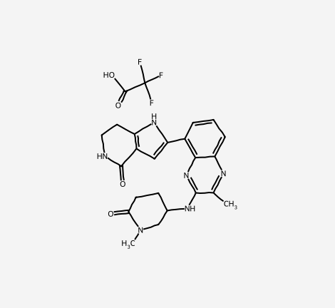 Cc1nc2cccc(-c3cc4c([nH]3)CCNC4=O)c2nc1NC1CCC(=O)N(C)C1.O=C(O)C(F)(F)F